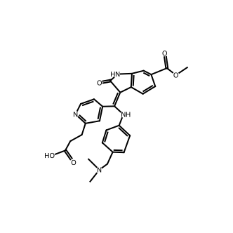 COC(=O)c1ccc2c(c1)NC(=O)C2=C(Nc1ccc(CN(C)C)cc1)c1ccnc(CCC(=O)O)c1